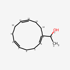 CC(O)C1=CCCC=CCCC=CCC1